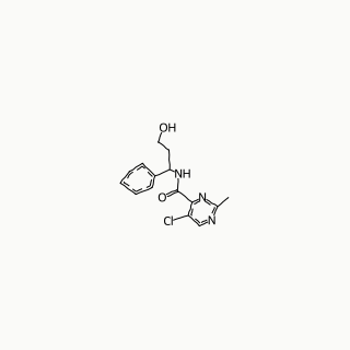 Cc1ncc(Cl)c(C(=O)NC(CCO)c2ccccc2)n1